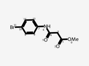 COC(=O)CC(=O)Nc1ccc(Br)cc1